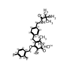 Cc1[nH]c(=O)c(Br)c(OCc2ccc(F)cc2F)c1Cc1ccc(CNC(=O)C(C)(C)N)cc1.Cl